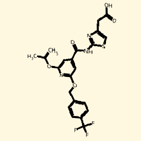 CC(C)Oc1cc(C(=O)Nc2nc(CC(=O)O)cs2)cc(OCc2ccc(C(F)(F)F)cc2)n1